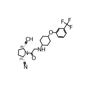 C#C[C@H]1CC[C@@H](C#N)N1C(=O)CNC1CCC(Oc2cccc(C(F)(F)F)c2)CC1